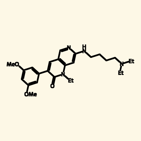 CCN(CC)CCCCNc1cc2c(cn1)cc(-c1cc(OC)cc(OC)c1)c(=O)n2CC